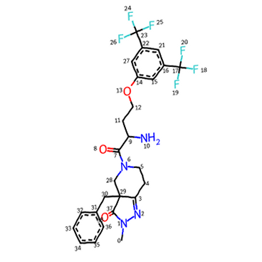 CN1N=C2CCN(C(=O)C(N)CCOc3cc(C(F)(F)F)cc(C(F)(F)F)c3)CC2(Cc2ccccc2)C1=O